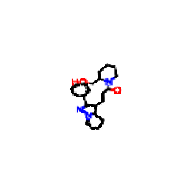 O=C(C=Cc1c(-c2ccccc2)nn2ccccc12)N1CCCCC1CO